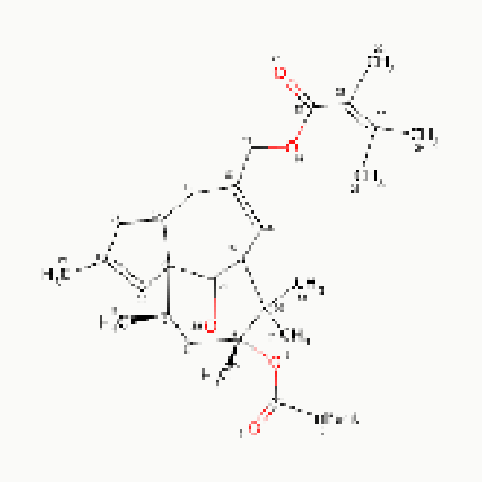 CCCCCC(=O)O[C@]1(C)C[C@@H](C)C23C=C(C)CC2CC(COC(=O)C(C)=C(C)C)=CC(C3=O)C1(C)C